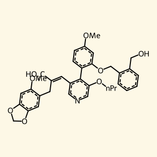 CCCOc1cncc(/C=C(\Cc2cc3c(cc2OC)OCO3)C(=O)O)c1-c1ccc(OC)cc1OCc1ccccc1CO